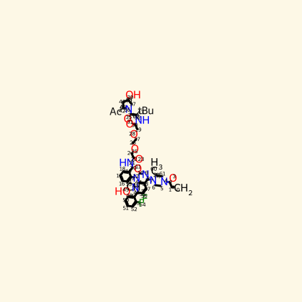 C=CC(=O)N1CCN(c2nc(=O)n(-c3c(C)cccc3CNC(=O)COCCOCC(=O)N[C@H](C(=O)N3C[C@H](O)C[C@H]3C(C)=O)C(C)(C)C)c3nc(-c4c(O)cccc4F)c(F)cc23)[C@@H](C)C1